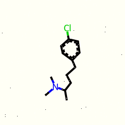 CC(CCCc1ccc(Cl)cc1)N(C)C